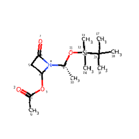 CC(=O)OC1CC(=O)N1[C@@H](C)O[Si](C)(C)C(C)(C)C